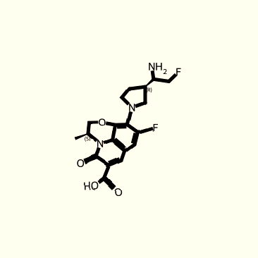 C[C@H]1COc2c(N3CC[C@@H](C(N)CF)C3)c(F)cc3cc(C(=O)O)c(=O)n1c23